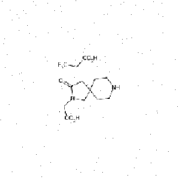 O=C(O)CC(F)(F)F.O=C(O)CN1CC2(CCNCC2)CC1=O